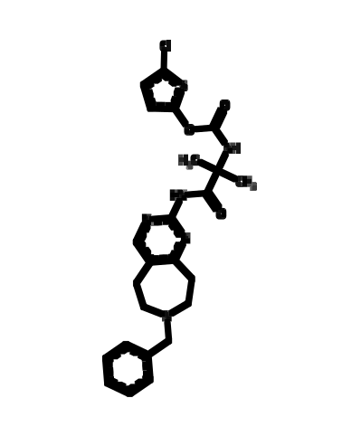 CC(C)(NC(=O)Oc1ccc(Cl)s1)C(=O)Nc1ncc2c(n1)CCN(Cc1ccccc1)CC2